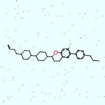 C=CCCC1CCC(C2CCC(C3CCc4cc(-c5ccc(CCC)cc5)c(F)cc4O3)CC2)CC1